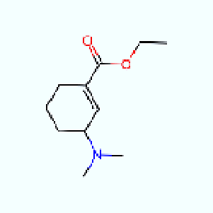 CCOC(=O)C1=CC(N(C)C)CCC1